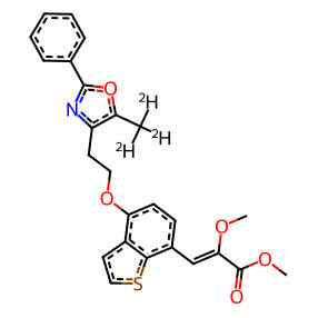 [2H]C([2H])([2H])c1oc(-c2ccccc2)nc1CCOc1ccc(/C=C(\OC)C(=O)OC)c2sccc12